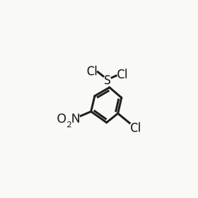 ClSCl.O=[N+]([O-])c1cccc(Cl)c1